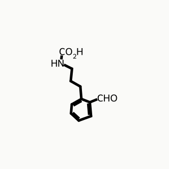 O=Cc1ccccc1CCCNC(=O)O